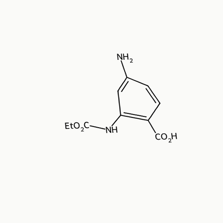 CCOC(=O)Nc1cc(N)ccc1C(=O)O